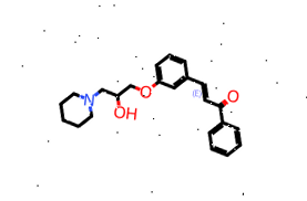 O=C(/C=C/c1cccc(OCC(O)CN2CCCCC2)c1)c1ccccc1